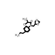 CCCc1ccc(N(CC2COCO2)C(=O)C(C)Cl)cc1